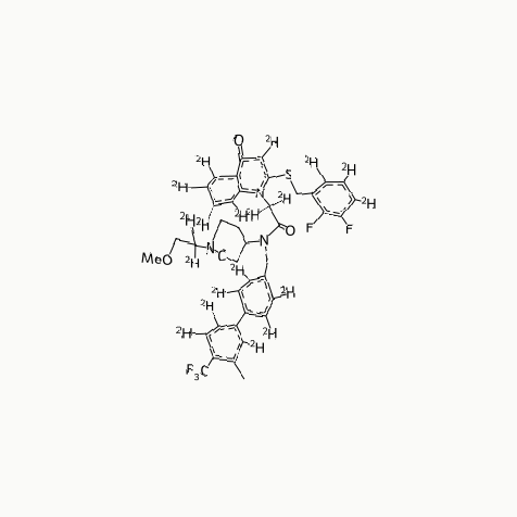 [2H]c1c([2H])c(F)c(F)c(CSc2c([2H])c(=O)c3c([2H])c([2H])c([2H])c([2H])c3n2C([2H])([2H])C(=O)N(Cc2c([2H])c([2H])c(-c3c([2H])c([2H])c(C(F)(F)F)c(C)c3[2H])c([2H])c2[2H])C2CCN(C([2H])([2H])COC)CC2)c1[2H]